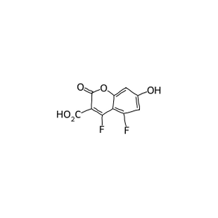 O=C(O)c1c(F)c2c(F)cc(O)cc2oc1=O